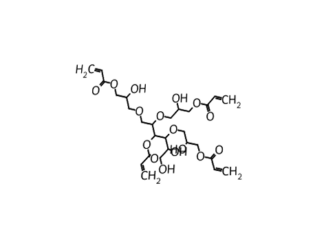 C=CC(=O)OCC(O)COCC(OCC(O)COC(=O)C=C)C(OC(=O)C=C)C(OCC(O)COC(=O)C=C)C(O)CO